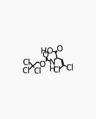 O=C(NC(C=C(Cl)Cl)C(=O)O)OCC(Cl)(Cl)Cl